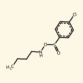 CCCCNOS(=O)c1ccc(Cl)cc1